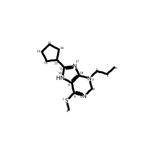 CCCN1CN=C(SC)c2[nH]c(C3CCCC3)nc21